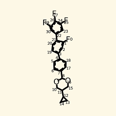 Fc1cc(-c2ccc(C3OCC(C4CC4)CO3)cc2)ccc1-c1cc(F)c(F)c(F)c1